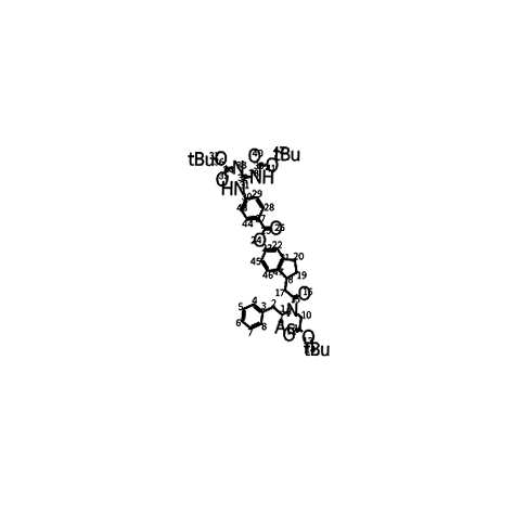 CC(=O)[C@H](Cc1ccccc1)N(CC(=O)OC(C)(C)C)C(=O)CC1CCc2cc(OC(=O)c3ccc(N/C(=N\C(=O)OC(C)(C)C)NC(=O)OC(C)(C)C)cc3)ccc21